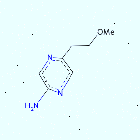 COCCc1cnc(N)cn1